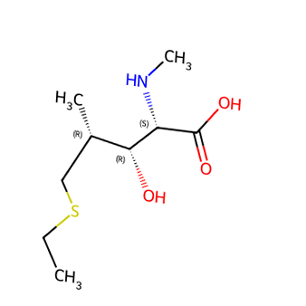 CCSC[C@H](C)[C@@H](O)[C@H](NC)C(=O)O